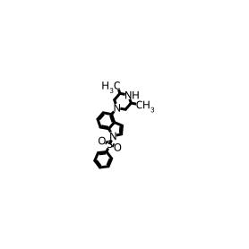 CC1CN(c2cccc3c2ccn3S(=O)(=O)c2ccccc2)CC(C)N1